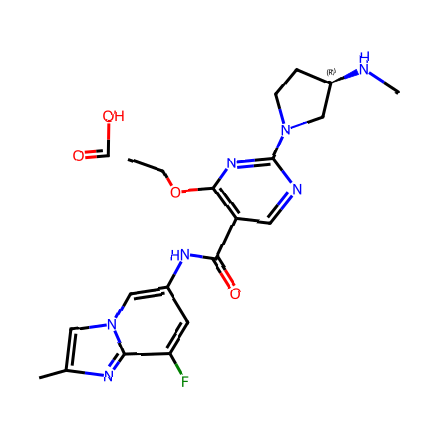 CCOc1nc(N2CC[C@@H](NC)C2)ncc1C(=O)Nc1cc(F)c2nc(C)cn2c1.O=CO